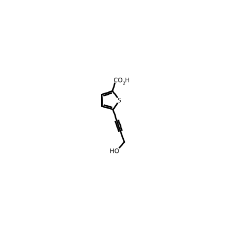 O=C(O)c1ccc(C#CCO)s1